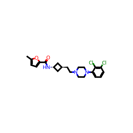 Cc1ccc(C(=O)N[C@H]2C[C@H](CCN3CCN(c4cccc(Cl)c4Cl)CC3)C2)o1